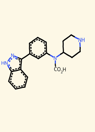 O=C(O)N(c1cccc(-c2n[nH]c3ccccc23)c1)C1CCNCC1